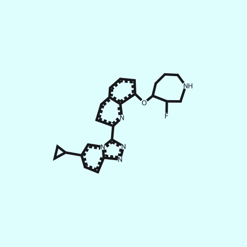 FC1CNCCCC1Oc1cccc2ccc(-c3nnc4ccc(C5CC5)cn34)nc12